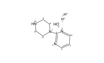 Cl.[H+].[H+].c1cnc(N2CCNCC2)nc1